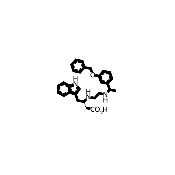 CC(NCCN[C@H](CC(=O)O)Cc1c[nH]c2ccccc12)c1cccc(OCc2ccccc2)c1